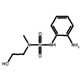 CN(CCO)S(=O)(=O)Nc1ccccc1N